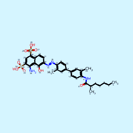 CCCCC[C@@H](C)C(=O)Nc1ccc(-c2ccc(/N=N/c3ccc4c(S(=O)(=O)O)cc(S(=O)(=O)O)c(N)c4c3O)c(C)c2)cc1C